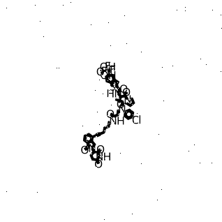 CC(C)(C)C(NC(=O)c1cc2cc(C(F)(F)P(=O)(O)O)ccc2s1)C(=O)N1CCC[C@H]1C(=O)N(CCC(=O)NCCCCC#Cc1cccc2c1CN(C1CCC(=O)NC1=O)C2=O)c1ccc(Cl)cc1